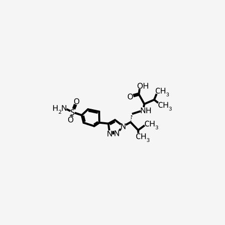 CC(C)C(NC[C@H](C(C)C)n1cc(-c2ccc(S(N)(=O)=O)cc2)nn1)C(=O)O